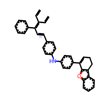 C=CC(C=C)=C(/C=C/c1ccc(Nc2ccc(C3=CCCc4c3oc3ccccc43)cc2)cc1)c1ccccc1